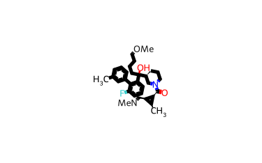 CNC[C@@H]1[C@@H](C)[C@H]1C(=O)N1CCC[C@@H]([C@@](O)(CCCCOC)c2cccc(F)c2-c2cccc(C)c2)C1